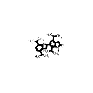 CC(C)c1cc(-c2cc3c(C(C)C)ccc(C(C)C)c3[nH]2)c(C(C)C)c2c1CC(=O)N2